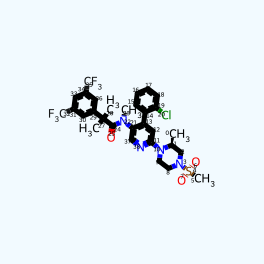 C[C@H]1CN(S(C)(=O)=O)CCN1c1cc(-c2ccccc2Cl)c(N(C)C(=O)C(C)(C)c2cc(C(F)(F)F)cc(C(F)(F)F)c2)cn1